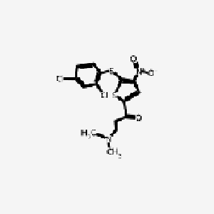 CN(C)CCC(=O)c1cc([N+](=O)[O-])c(Sc2ccc(Cl)cc2Cl)s1